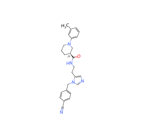 Cc1cccc(N2CCC[C@H](C(=O)NCCc3cncn3Cc3ccc(C#N)cc3)C2)c1